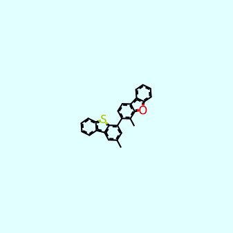 Cc1cc(-c2ccc3c(oc4ccccc43)c2C)c2sc3ccccc3c2c1